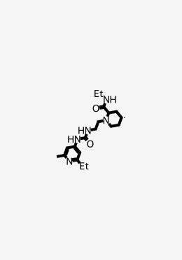 CCNC(=O)C1C[CH]CCN1CCNC(=O)Nc1cc(C)nc(CC)c1